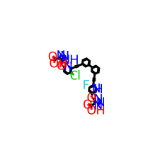 O=C(O)c1nn[nH]c1Oc1cnc(C#Cc2cccc(-c3cccc(C#Cc4nc(Oc5[nH]nnc5C(=O)O)ccc4Cl)c3)c2)c(F)c1